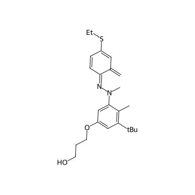 C=C1C=C(SCC)C=C/C1=N/N(C)c1cc(OCCCO)cc(C(C)(C)C)c1C